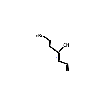 C=C/C=C(\C#N)CCCCCC